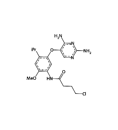 COc1cc(C(C)C)c(Oc2cnc(N)nc2N)cc1NC(=O)CCCCl